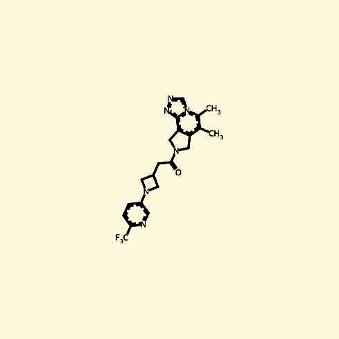 Cc1c2c(c3nncn3c1C)CN(C(=O)CC1CN(c3ccc(C(F)(F)F)nc3)C1)C2